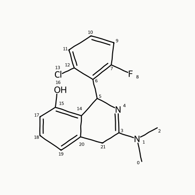 CN(C)C1=NC(c2c(F)cccc2Cl)c2c(O)cccc2C1